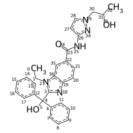 CCn1c(C(O)(c2ccccc2)c2ccccc2)nc2ccc(C(=O)Nc3ccn(CC(C)O)n3)cc21